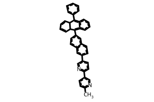 Cc1ccc(-c2ccc(-c3ccc4cc(C5=c6ccccc6=C(c6ccccc6)C6C=CC=CC56)ccc4c3)cn2)cn1